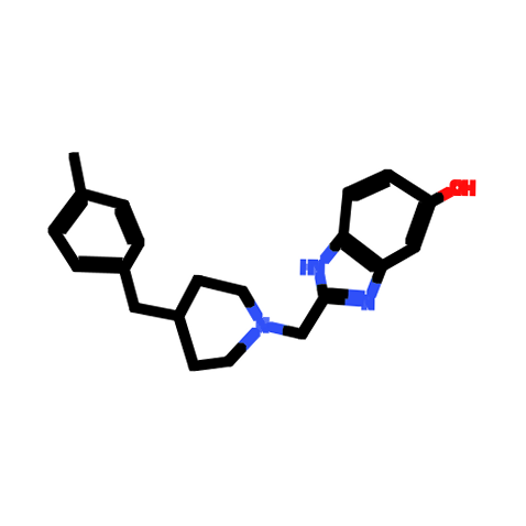 Cc1ccc(CC2CCN(Cc3nc4cc(O)ccc4[nH]3)CC2)cc1